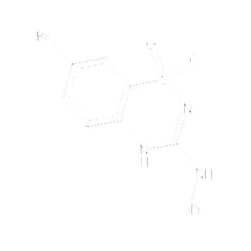 CC(C)NC1=NS(=O)(=O)c2cc(Br)ccc2N1